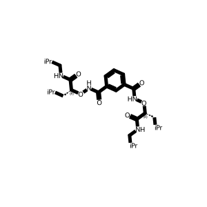 CC(C)CNC(=O)[C@@H](CC(C)C)ONC(=O)c1cccc(C(=O)NO[C@H](CC(C)C)C(=O)NCC(C)C)c1